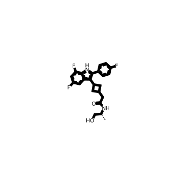 C[C@H](CO)NC(=O)CC1CC(c2c(-c3ccc(F)cc3)[nH]c3c(F)cc(F)cc23)C1